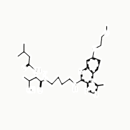 COCCOc1ccc2c(c1)nc(NCCCCNC(=O)[C@@H](NC(=O)CC(C)C)C(C)O)c1nnc(C)n12